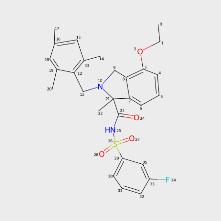 CCOc1cccc2c1CN(Cc1c(C)cc(C)cc1C)C2(C)C(=O)NS(=O)(=O)c1cccc(F)c1